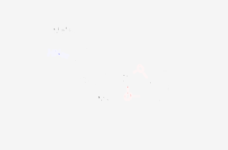 CN/C=C1/C=C(B2OC(C)(C)C(C)(C)O2)C(OC)=CC1=N